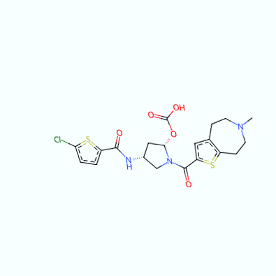 CN1CCc2cc(C(=O)N3C[C@H](NC(=O)c4ccc(Cl)s4)C[C@@H]3OC(=O)O)sc2CC1